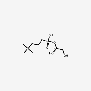 C[N+](C)(C)CCOP(=O)(O)O[C@H](O)CO